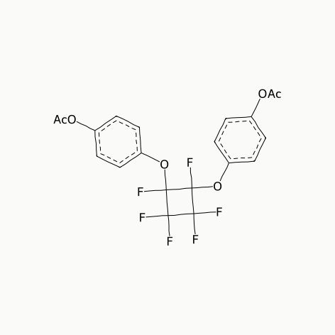 CC(=O)Oc1ccc(OC2(F)C(F)(F)C(F)(F)C2(F)Oc2ccc(OC(C)=O)cc2)cc1